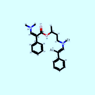 CCN(/C=C(\C(C)=O)c1ccccc1)CCC(C)OC(=O)/C(=C\N(C)C)c1ccccc1